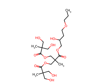 CCCOCCC(O)COC(=O)C(C)(COC(=O)C(C)(CO)CO)COC(=O)C(C)(CO)CO